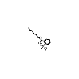 CCCCCCOC(=O)c1ccccc1P(C)(=O)OC